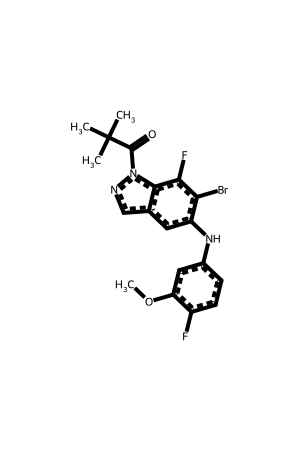 COc1cc(Nc2cc3cnn(C(=O)C(C)(C)C)c3c(F)c2Br)ccc1F